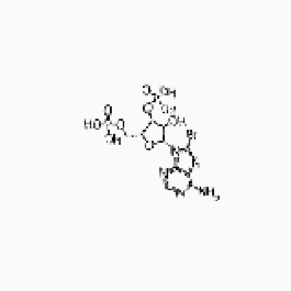 Nc1ncnc2c1nc(Br)n2[C@@H]1O[C@H](COP(=O)(O)O)[C@@H](OP(=O)(O)O)[C@H]1O